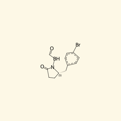 O=CBN1C(=O)CC[C@H]1Cc1ccc(Br)cc1